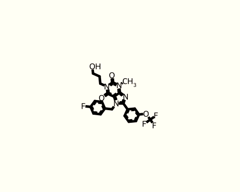 Cn1c(=O)n(CCCO)c(=O)c2c1nc(-c1cccc(OC(F)(F)F)c1)n2Cc1ccc(F)cc1